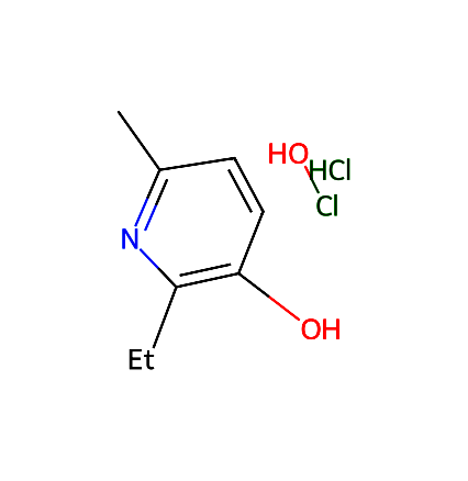 CCc1nc(C)ccc1O.Cl.OCl